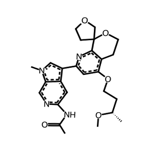 CO[C@@H](C)CCOc1cc(-c2cn(C)c3cnc(NC(C)=O)cc23)nc2c1CCOC21CCOC1